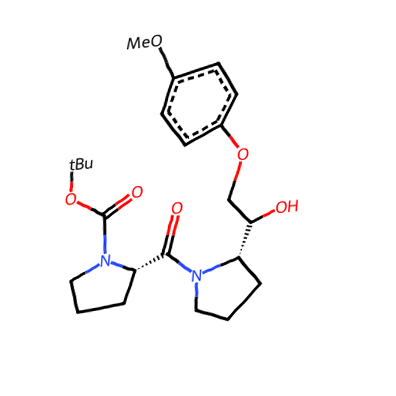 COc1ccc(OCC(O)[C@@H]2CCCN2C(=O)[C@@H]2CCCN2C(=O)OC(C)(C)C)cc1